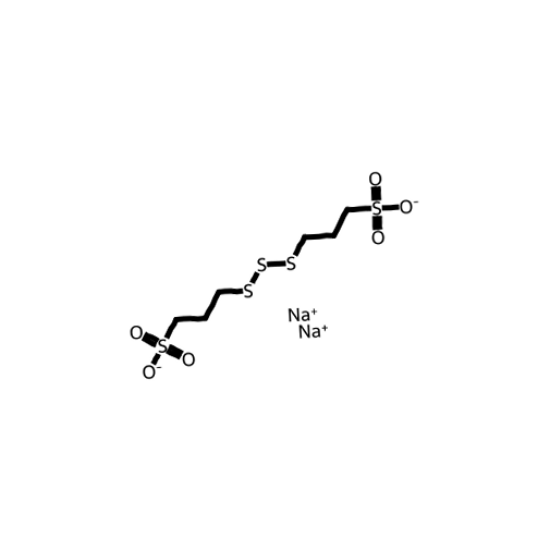 O=S(=O)([O-])CCCSSSCCCS(=O)(=O)[O-].[Na+].[Na+]